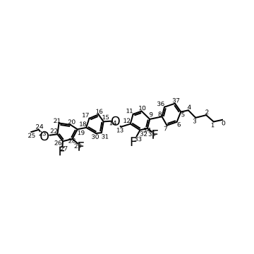 CCCCCc1ccc(-c2ccc(COc3ccc(-c4ccc(OCC)c(F)c4F)cc3)c(F)c2F)cc1